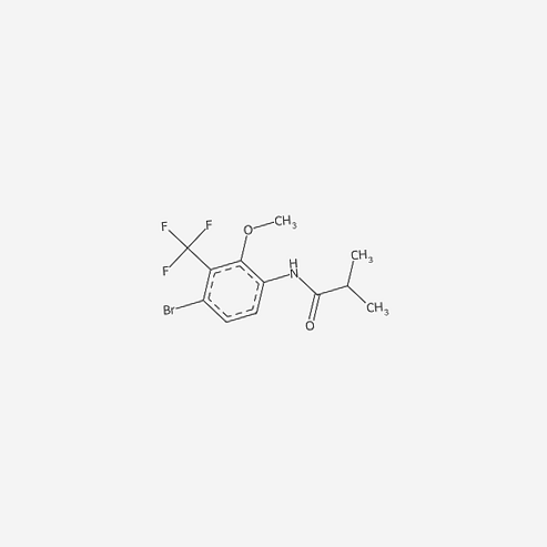 COc1c(NC(=O)C(C)C)ccc(Br)c1C(F)(F)F